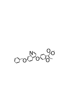 COC(=O)c1c(C)oc2cc(Oc3ccnc4cc(OCc5ccccc5)ccc34)ccc12